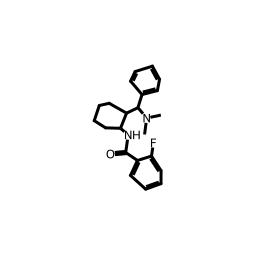 CN(C)C(c1ccccc1)C1CCCCC1NC(=O)c1ccccc1F